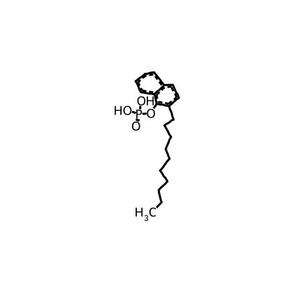 CCCCCCCCCCc1ccc2ccccc2c1OP(=O)(O)O